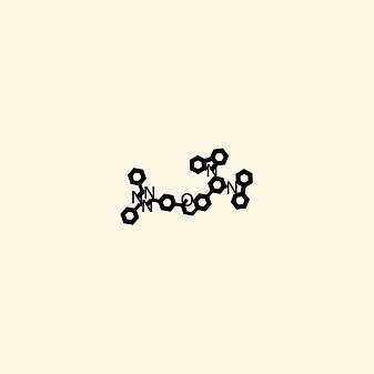 C1=C(c2ccc(-c3nc(-c4ccccc4)nc(-c4ccccc4)n3)cc2)Oc2cc(-c3cc(-n4c5ccccc5c5ccccc54)cc(-n4c5ccccc5c5ccccc54)c3)ccc2C1